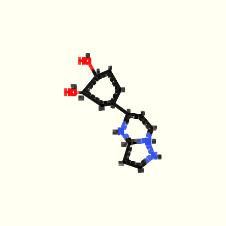 Oc1ccc(-c2c[c]n3nccc3n2)cc1O